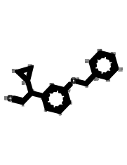 O=CC(c1cccc(OCc2ccccc2)c1)C1CC1